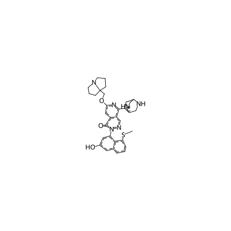 CSc1cccc2cc(O)cc(-n3ncc4c(C5CC6CNCC5CN6)nc(OCC56CCCN5CCC6)cc4c3=O)c12